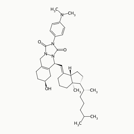 CC(C)CCC[C@@H](C)[C@H]1CC[C@H]2/C(=C/[C@H]3C4=C(CC[C@H](O)C4)Cn4c(=O)n(-c5ccc(N(C)C)cc5)c(=O)n43)CCC[C@]12C